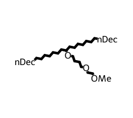 CCCCCCCCCCCCCCCCCC(CCCCCCCCCCCCCCCCC)OCCCCOCCOC